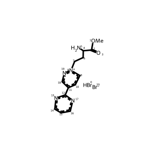 Br.COC(=O)C(N)CC[n+]1ccc(-c2ncccn2)cn1.[Br-]